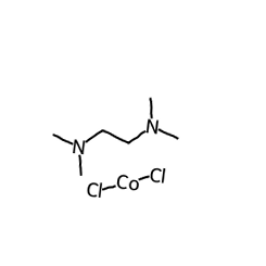 CN(C)CCN(C)C.[Cl][Co][Cl]